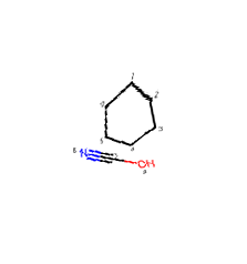 C1CCCCC1.N#CO